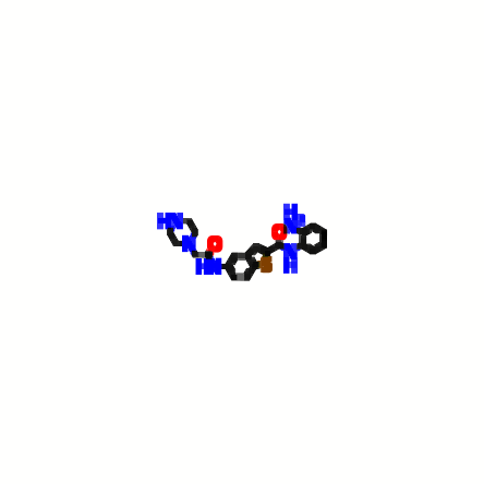 Nc1ccccc1NC(=O)c1cc2cc(NC(=O)CN3CCNCC3)ccc2s1